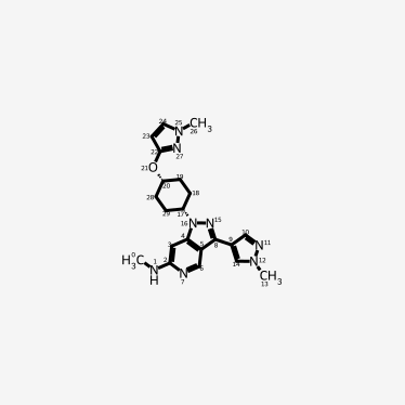 CNc1cc2c(cn1)c(-c1cnn(C)c1)nn2[C@H]1CC[C@@H](Oc2ccn(C)n2)CC1